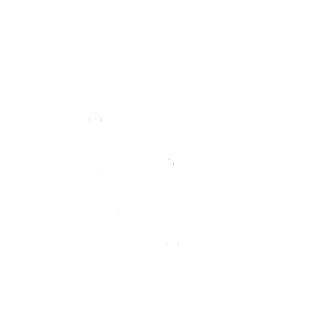 CCCOC(=O)C(=Nc1cccc(C)c1)C(=O)OCCC